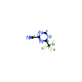 N#Cc1ncnc(C(F)(F)F)n1